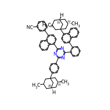 CC1C[C@@H]2C[C@H](C)CC(c3ccc(-c4nc(-c5ccccc5-c5ccc(C67C[C@H](C)C[C@H](C[C@H](C)C6)C7)c6ccccc56)nc(-c5ccc(-c6cccc(C#N)c6)c6ccccc56)n4)cc3)(C1)C2